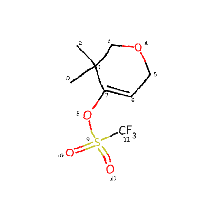 CC1(C)COCC=C1OS(=O)(=O)C(F)(F)F